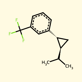 CC(C)[C@@H]1C[C@H]1c1cccc(C(F)(F)F)c1